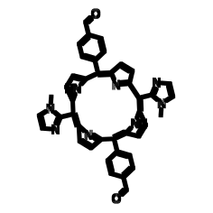 Cn1ccnc1-c1c2nc(c(-c3ccc(C=O)cc3)c3ccc([nH]3)c(-c3nccn3C)c3nc(c(-c4ccc(C=O)cc4)c4ccc1[nH]4)C=C3)C=C2